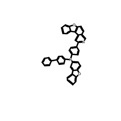 c1ccc(-c2ccc(N(c3ccc(-c4cc5c(ccc6oc7ccccc7c65)cn4)cc3)c3ccc4oc5ccccc5c4c3)cc2)cc1